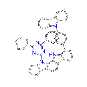 c1ccc(-c2nc(-c3ccccc3)nc(-n3c4ccccc4c4ccc5c6cccc(-c7ccc(-n8c9ccccc9c9ccccc98)cc7)c6[nH]c5c43)n2)cc1